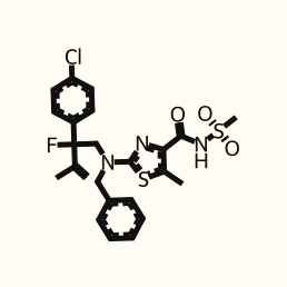 C=C(C)C(F)(CN(Cc1ccccc1)c1nc(C(=O)NS(C)(=O)=O)c(C)s1)c1ccc(Cl)cc1